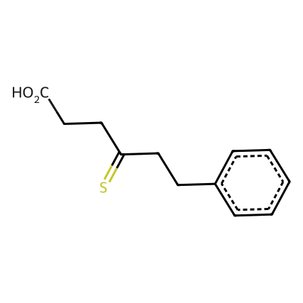 O=C(O)CCC(=S)CCc1ccccc1